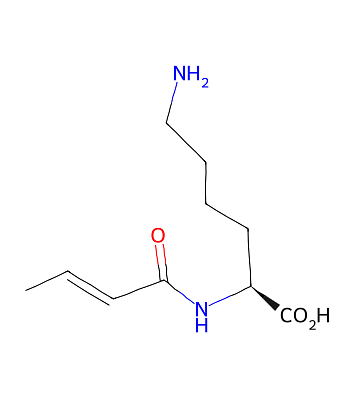 CC=CC(=O)N[C@@H](CCCCN)C(=O)O